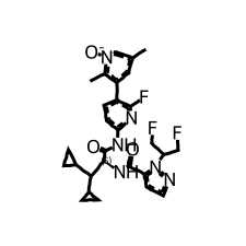 Cc1cc(-c2ccc(NC(=O)[C@@H](NC(=O)c3ccnn3C(CF)CF)C(C3CC3)C3CC3)nc2F)c(C)[n+]([O-])c1